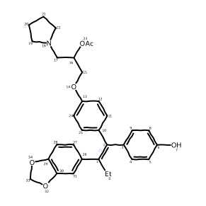 CC/C(=C(\c1ccc(O)cc1)c1ccc(OCC(CN2CCCC2)OC(C)=O)cc1)c1ccc2c(c1)OCO2